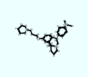 CN(C)c1ccc([C@H]2CN3CCC[C@@H]3c3cc(OCCCN4CCCCC4)ccc32)cc1